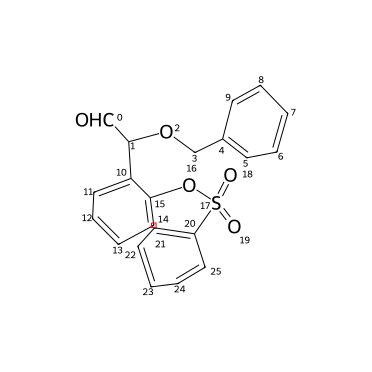 O=CC(OCc1ccccc1)c1ccccc1OS(=O)(=O)c1ccccc1